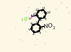 F.O=[N+]([O-])c1ccccc1-c1ccccc1I